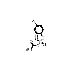 CCCCC(=O)OP(=O)(O)Oc1ccc(C(C)C)cc1